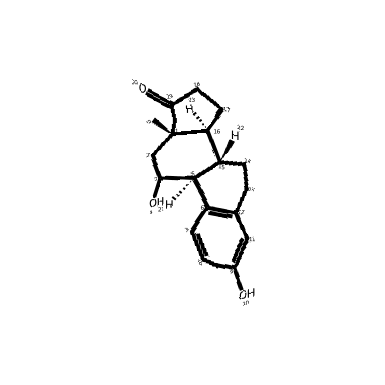 C[C@]12CC(O)[C@@H]3c4ccc(O)cc4CC[C@H]3[C@@H]1CCC2=O